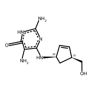 Nc1nc(N[C@H]2C=C[C@@H](CO)C2)c(N)c(=O)[nH]1